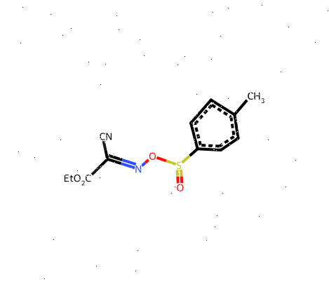 CCOC(=O)/C(C#N)=N/OS(=O)c1ccc(C)cc1